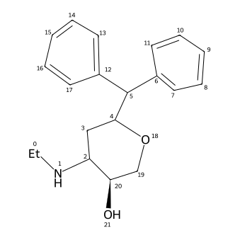 CCNC1CC(C(c2ccccc2)c2ccccc2)OC[C@H]1O